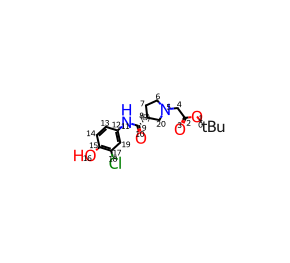 CC(C)(C)OC(=O)CN1CC[C@@H](C(=O)Nc2ccc(O)c(Cl)c2)C1